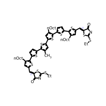 CCCCCCCCc1cc(/C=C2\SC(SCC)=NC2=O)sc1-c1ccc(-c2sc(-c3cc(CCCCCCCC)c(-c4ccc(-c5sc(/C=C6\SC(SCC)=NC6=O)cc5CCCCCCCC)s4)s3)cc2C)s1